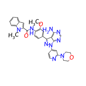 COc1cc(-c2nn(-c3ccnc(N4CCOCC4)c3)c3ncnc(N)c23)ccc1NC(=O)c1cc2ccccc2n1C